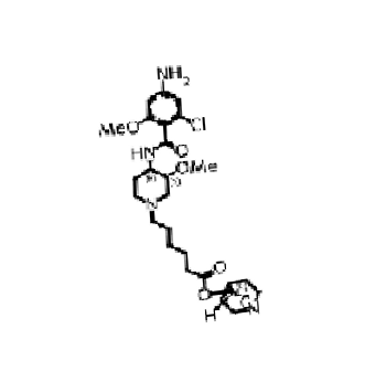 COc1cc(N)cc(Cl)c1C(=O)N[C@@H]1CCN(CCCCCC(=O)O[C@H]2CN3CCC2CC3)C[C@@H]1OC